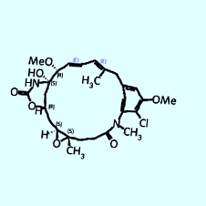 COc1cc2cc(c1Cl)N(C)C(=O)CC[C@]1(C)O[C@H]1C[C@@H]1C[C@@](O)(NC(=O)O1)[C@H](OC)/C=C/C=C(\C)C2